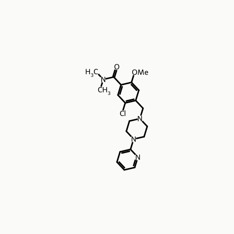 COc1cc(CN2CCN(c3ccccn3)CC2)c(Cl)cc1C(=O)N(C)C